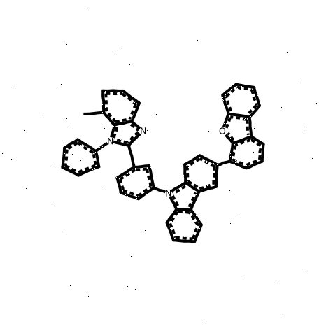 Cc1cccc2nc(-c3cccc(-n4c5ccccc5c5cc(-c6cccc7c6oc6ccccc67)ccc54)c3)n(-c3ccccc3)c12